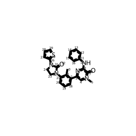 Cc1c(-c2cn(C)c(=O)c(Nc3ccccc3)n2)cccc1N1CCN(c2cccs2)C1=O